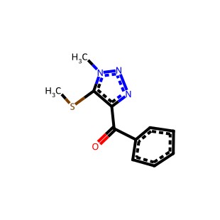 CSc1c(C(=O)c2ccccc2)nnn1C